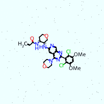 C=CC(=O)N[C@H]1CCOC[C@H]1Nc1cc2c(N3CCOCC3)nc(-c3c(Cl)c(OC)cc(OC)c3Cl)nc2cn1